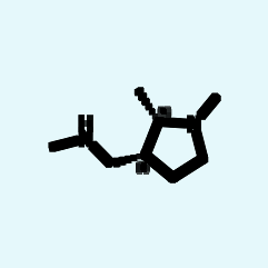 CNC[C@H]1CCN(C)[C@H]1C